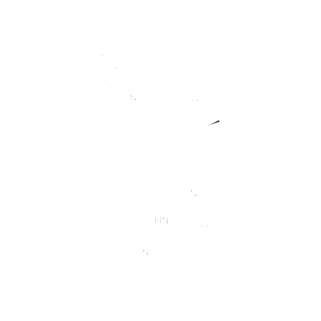 C[C@@H](C1CCN(C(=O)Nc2ccon2)CC1)S(=O)(=O)c1ccc(C(F)(F)F)nc1